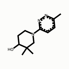 Cc1ccc(N2CCC(O)C(C)(C)C2)nn1